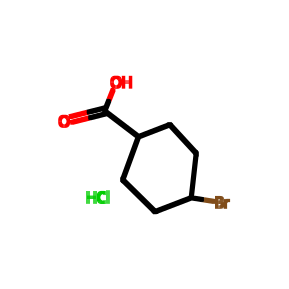 Cl.O=C(O)C1CCC(Br)CC1